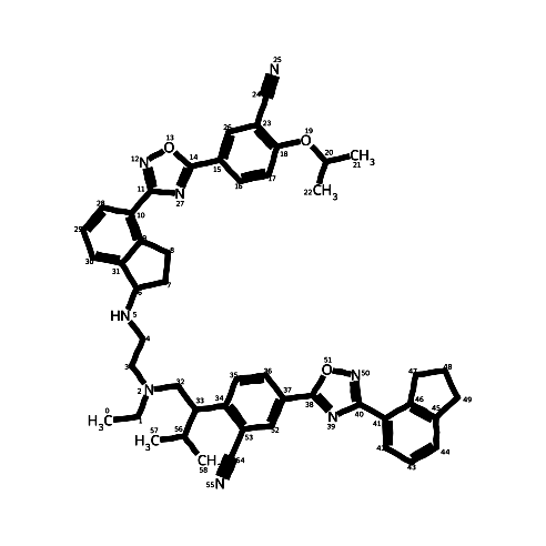 CCN(CCNC1CCc2c(-c3noc(-c4ccc(OC(C)C)c(C#N)c4)n3)cccc21)CC(c1ccc(-c2nc(-c3cccc4c3CCC4)no2)cc1C#N)C(C)C